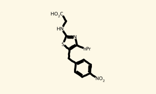 CCCc1nc(NCC(=O)O)sc1Cc1ccc([N+](=O)[O-])cc1